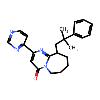 CC(C)(CC1CCCCn2c1nc(-c1ccncn1)cc2=O)c1ccccc1